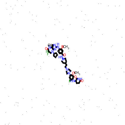 COc1cc(C(=O)NN2CCC(CCN3CCN(c4cc(F)c(NC5CCC(=O)NC5=O)cc4OC)CC3)CC2)ccc1Nc1ncc2c(n1)N(C1CCCC1)CC(F)(F)C(=O)N2C